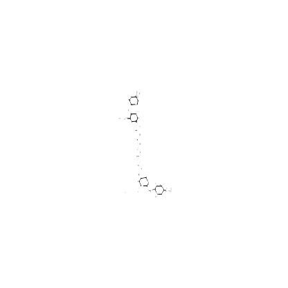 CCCCCCc1cc(CCCCCCCCCCCCc2ccc(Cc3ccc(N)cc3)c(CCCCCC)c2)ccc1Cc1ccc(N)cc1